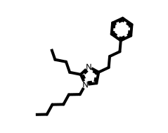 CCCCCCn1cc(CCCc2ccccc2)nc1CCCC